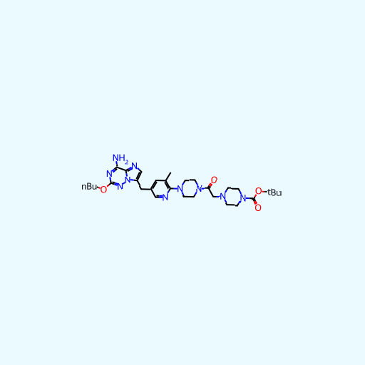 CCCCOc1nc(N)c2ncc(Cc3cnc(N4CCN(C(=O)CN5CCN(C(=O)OC(C)(C)C)CC5)CC4)c(C)c3)n2n1